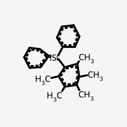 Cc1c(C)c(C)c([SiH](c2ccccc2)c2ccccc2)c(C)c1C